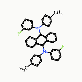 Cc1ccc(N(c2cccc(F)c2)c2c3ccccc3c(N(c3ccc(C)cc3)c3cccc(F)c3)c3ccccc23)cc1